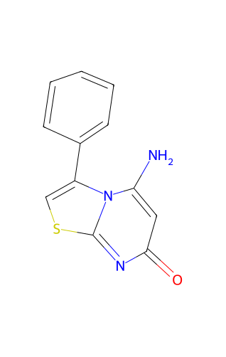 Nc1cc(=O)nc2scc(-c3ccccc3)n12